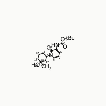 CC(C)(C)OC(=O)Nc1cccn(C2CCC[C@@](C)(O)C2)c1=O